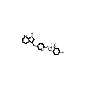 Fc1ccc(CNc2ccc(Cc3c[nH]c4ncccc34)cn2)c(C(F)(F)F)c1